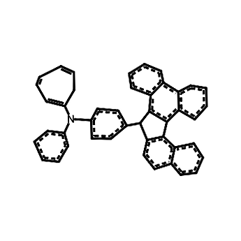 C1=CC=C(N(c2ccccc2)c2ccc(C3c4ccc5ccccc5c4-c4c3c3ccccc3c3ccccc43)cc2)CC=C1